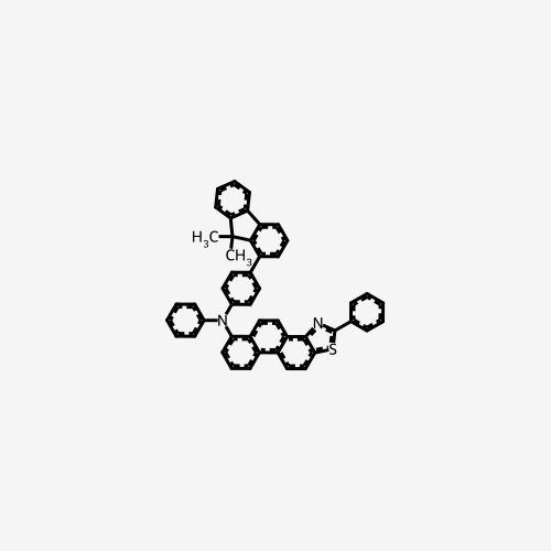 CC1(C)c2ccccc2-c2cccc(-c3ccc(N(c4ccccc4)c4cccc5c4ccc4c5ccc5sc(-c6ccccc6)nc54)cc3)c21